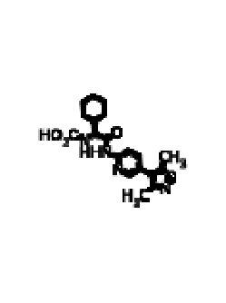 Cc1noc(C)c1-c1ccc(NC(=O)[C@@H](NC(=O)O)C2CCCCC2)nc1